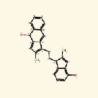 CC1=Cc2c(Br)cccc2C1CCC1=C(C)C=C2C1=Cc1ccccc1C2Br